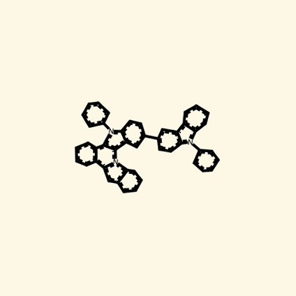 c1ccc(-n2c3ccccc3c3cc(-c4ccc5c(c4)c4c(c6ccccc6c6cc7ccccc7n64)n5-c4ccccc4)ccc32)cc1